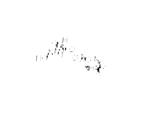 COc1nc(N[C@@H]2CCc3c(-c4cccc(-c5nc6cc(CN7CC[C@@H](C(=O)NS(=O)(=O)C8CC8)C7)cc(C#N)c6o5)c4C)cccc32)c(C(F)(F)F)nc1CN1CC[C@@H](O)C1